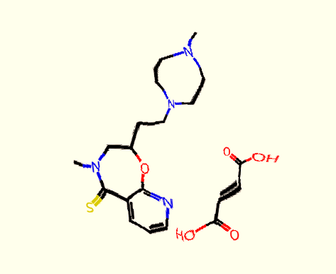 CN1CCN(CCC2CN(C)C(=S)c3cccnc3O2)CC1.O=C(O)/C=C/C(=O)O